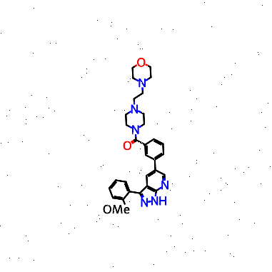 COc1ccccc1-c1n[nH]c2ncc(-c3cccc(C(=O)N4CCN(CCN5CCOCC5)CC4)c3)cc12